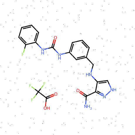 NC(=O)c1n[nH]cc1NCc1cccc(NC(=O)Nc2ccccc2F)c1.O=C(O)C(F)(F)F